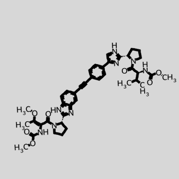 COC(=O)N/C(C(=O)N1CCC[C@H]1c1nc2cc(C#Cc3ccc(-c4c[nH]c([C@@H]5CCCN5C(=O)[C@@H](NC(=O)OC)C(C)C)n4)cc3)ccc2[nH]1)=C(\C)OC